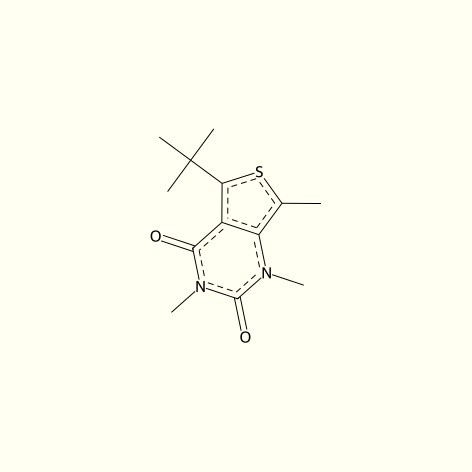 Cc1sc(C(C)(C)C)c2c(=O)n(C)c(=O)n(C)c12